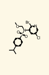 COCN(c1cc(Cl)cnc1Br)S(=O)(=O)c1ccc(C(C)C)cc1